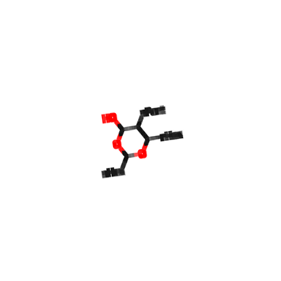 CCCCCCC1OC(O)C(CCCCC)C(CCCCCC)O1